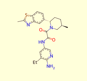 CCc1cc(NC(=O)C(=O)N2C[C@H](C)CC[C@H]2c2ccc3sc(C)nc3c2)cnc1N